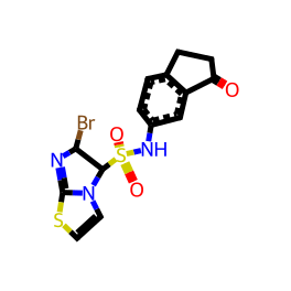 O=C1CCc2ccc(NS(=O)(=O)C3C(Br)N=C4SC=CN43)cc21